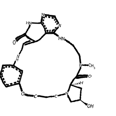 CN1CCNc2ncnc3c2/C(=C/Nc2cccc(c2)OCCCN2C[C@H](O)C[C@@H]2C1=O)C(=O)N3